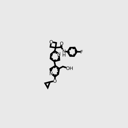 O=C(Nc1ccc(F)cc1)C1(c2ccc(-c3cnc(OC4CC4)cc3CO)cn2)COC1